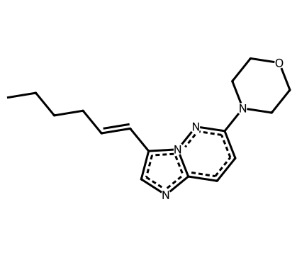 CCCC/C=C/c1cnc2ccc(N3CCOCC3)nn12